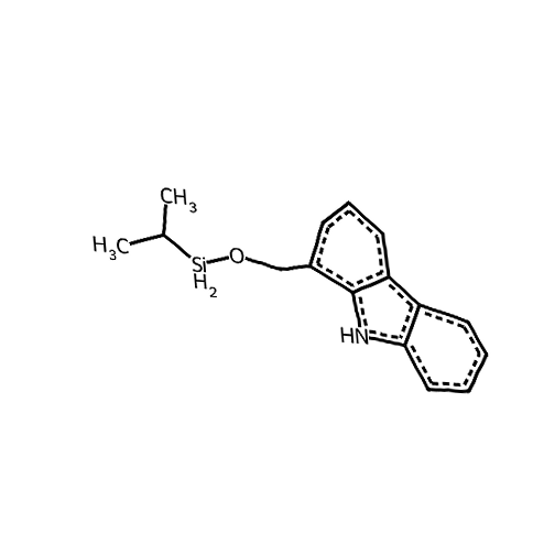 CC(C)[SiH2]OCc1cccc2c1[nH]c1ccccc12